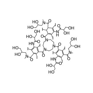 CN(CC(O)CO)C(=O)c1c(I)c(NC(=O)C(O)CO)c(I)c(C(=O)N2CCN(C(=O)C3=C(I)C(NC(=O)C(O)CO)=C(I)C(C(=O)N(C)CC(O)CO)C3I)CCN(C(=O)c3c(I)c(NC(=O)C(O)CO)c(I)c(C(=O)N(C)CC(O)CO)c3I)CC2)c1I